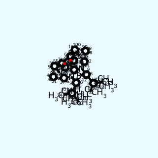 CC(C)(C)c1cc(-c2ccc3c(c2)B2c4ccc(-c5cc(C(C)(C)C)cc(C(C)(C)C)c5)cc4N(c4cccc([Si](c5ccccc5)(c5ccccc5)c5ccccc5)c4)c4cc(-n5c6ccccc6c6ccccc65)cc(c42)N3c2cccc([Si](c3ccccc3)(c3ccccc3)c3ccccc3)c2)cc(C(C)(C)C)c1